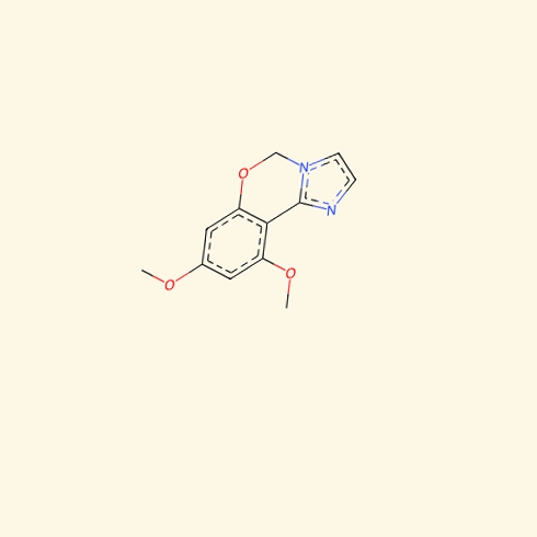 COc1cc(OC)c2c(c1)OCn1ccnc1-2